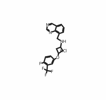 Cl.Fc1ccc(OC2CC(NCc3cccc4cncnc34)C2)cc1C(F)(F)F